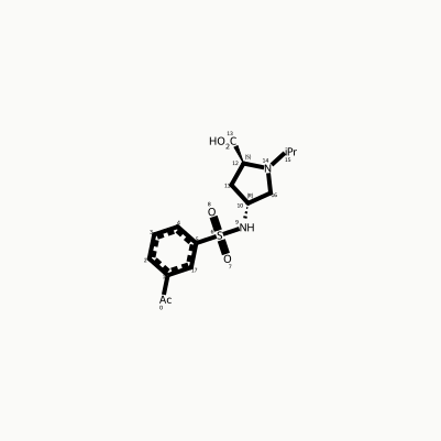 CC(=O)c1cccc(S(=O)(=O)N[C@@H]2C[C@@H](C(=O)O)N(C(C)C)C2)c1